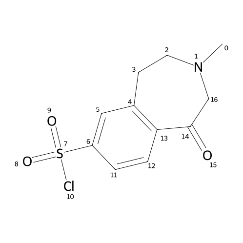 CN1CCc2cc(S(=O)(=O)Cl)ccc2C(=O)C1